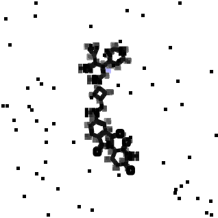 N=C(/C(=C\N[C@H]1C[C@H](CNc2ccc3c(c2)C(=O)N(C2CCC(=O)NC2=O)C3=O)C1)c1ccncn1)C1CC1